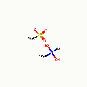 CCC[N+](O)(O)CC.COS(=O)(=O)[O-]